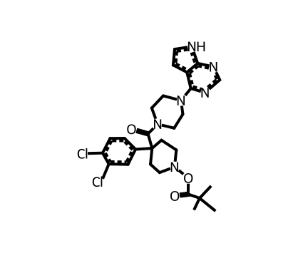 CC(C)(C)C(=O)ON1CCC(C(=O)N2CCN(c3ncnc4[nH]ccc34)CC2)(c2ccc(Cl)c(Cl)c2)CC1